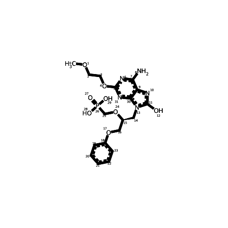 COCCOc1nc(N)c2nc(O)n(C[C@@H](COc3ccccc3)OCP(=O)(O)O)c2n1